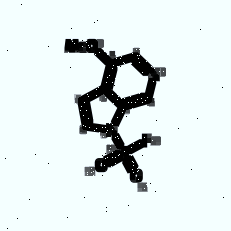 COc1cncc2c1ccn2S(=O)(=O)F